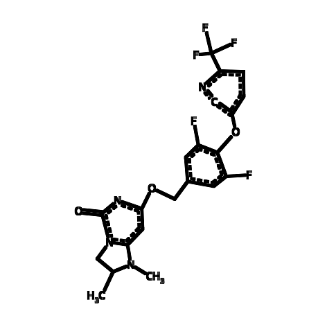 CC1Cn2c(cc(OCc3cc(F)c(Oc4ccc(C(F)(F)F)nc4)c(F)c3)nc2=O)N1C